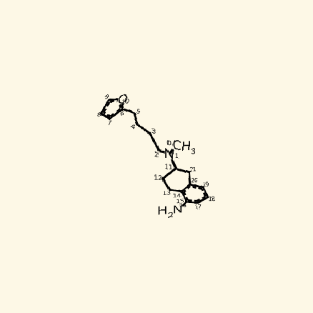 CN(CCCCc1ccco1)C1CCc2c(N)cccc2C1